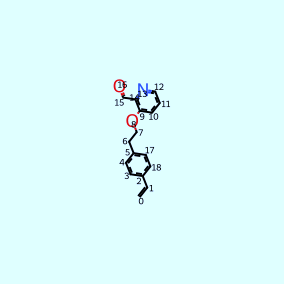 C=Cc1ccc(CCOc2cccnc2C=O)cc1